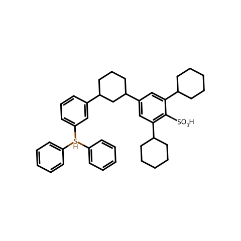 O=S(=O)(O)c1c(C2CCCCC2)cc(C2CCCC(c3cccc([SH](c4ccccc4)c4ccccc4)c3)C2)cc1C1CCCCC1